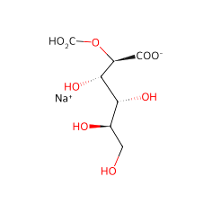 O=C(O)O[C@@H](C(=O)[O-])[C@@H](O)[C@H](O)[C@H](O)CO.[Na+]